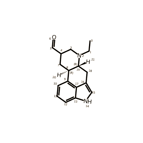 CCN1CC(C=O)C[C@@H]2c3cccc4[nH]cc(c34)C[C@H]21